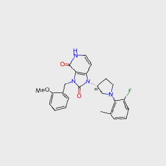 COc1ccccc1Cn1c(=O)n([C@@H]2CCN(c3c(C)cccc3F)C2)c2cc[nH]c(=O)c21